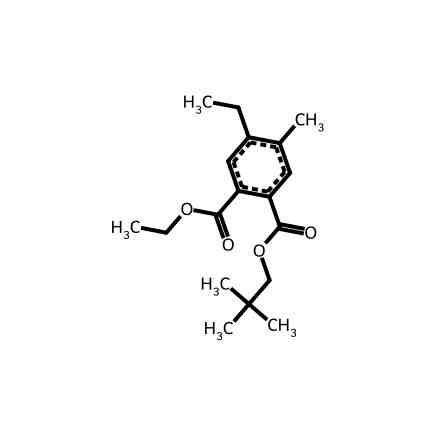 CCOC(=O)c1cc(CC)c(C)cc1C(=O)OCC(C)(C)C